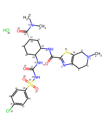 CN1CCc2nc(C(=O)NC3C[C@@H](C(=O)N(C)C)CCC3NC(=O)NS(=O)(=O)c3ccc(Cl)cc3)sc2C1.Cl